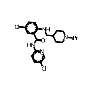 CC(C)N1CCC(CNc2ccc(Cl)cc2C(=O)Nc2ccc(Cl)cn2)CC1